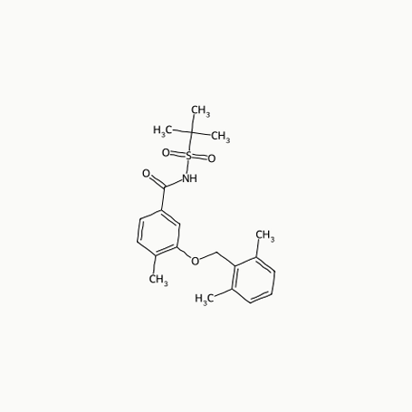 Cc1ccc(C(=O)NS(=O)(=O)C(C)(C)C)cc1OCc1c(C)cccc1C